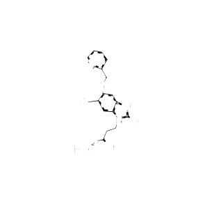 COC(=O)CCn1c(=O)oc2cc(OCc3ccccn3)c(Cl)cc21